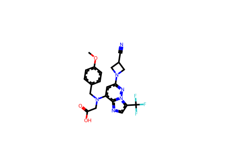 COc1ccc(CN(CC(=O)O)c2cc(N3CC(C#N)C3)nn3c(C(F)(F)F)cnc23)cc1